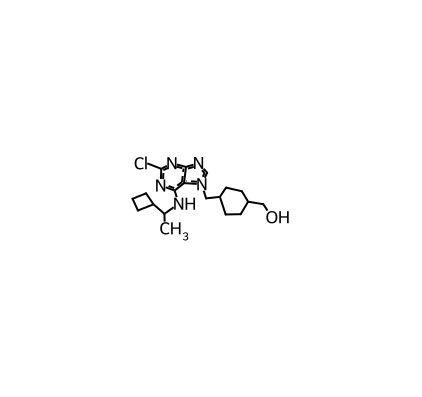 CC(Nc1nc(Cl)nc2ncn(CC3CCC(CO)CC3)c12)C1CCC1